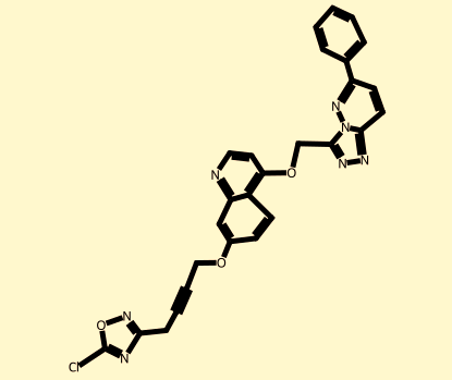 Clc1nc(CC#CCOc2ccc3c(OCc4nnc5ccc(-c6ccccc6)nn45)ccnc3c2)no1